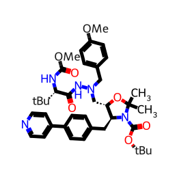 COC(=O)N[C@H](C(=O)NN(Cc1ccc(OC)cc1)C[C@@H]1OC(C)(C)N(C(=O)OC(C)(C)C)[C@H]1Cc1ccc(-c2ccncc2)cc1)C(C)(C)C